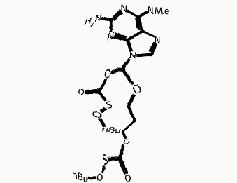 CCCCOSC(=O)OCCCOC(OC(=O)SOCCCC)n1cnc2c(NC)nc(N)nc21